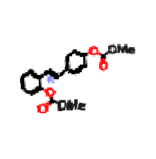 COC(=O)Oc1ccc(/C=C/c2ccccc2OC(=O)OC)cc1